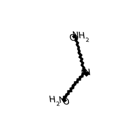 NC(=O)CCCCCCCC=CCCCCCCCCN1CCN=C1CCCCCCCC=CCCCCCCCC(N)=O